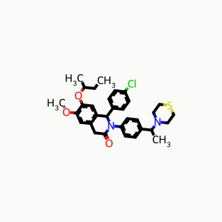 CCC(C)Oc1cc2c(cc1OC)CC(=O)N(c1ccc(C(C)N3CCSCC3)cc1)C2c1ccc(Cl)cc1